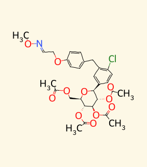 CO/N=C/COc1ccc(Cc2cc([C@@H]3O[C@H](COC(C)=O)[C@@H](OC(C)=O)[C@H](OC(C)=O)[C@H]3OC(C)=O)ccc2Cl)cc1